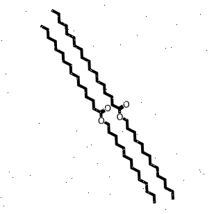 CCCCCCCCCCCCCCCC(=O)OCCCCCCCCCCCCCC.CCCCCCCCCCCCCCCCCC(=O)OCCCCCCCCCCCCCC